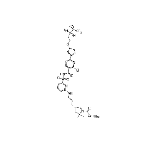 [2H]C([2H])(CCOc1ccn(-c2ccc(C(=O)NS(=O)(=O)c3cccc(NCCC[C@@H]4CN(C(=O)OC(C)(C)C)C(C)(C)C4)n3)c(Cl)n2)n1)C1(C(F)(F)F)CC1